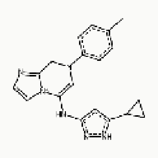 Cc1ccc(N2C=C(Nc3cc(C4CC4)[nH]n3)[N+]3C=CN=C3C2)cc1